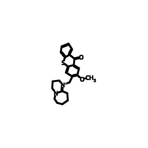 COc1cc2c(=O)c3ccccc3sc2cc1C[N+]1=C2CCCCCN2CCC1